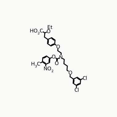 CCOC(Cc1ccc(OCCN(CCCCOCc2cc(Cl)cc(Cl)c2)C(=O)Oc2ccc(C)c([N+](=O)[O-])c2)cc1)C(=O)O